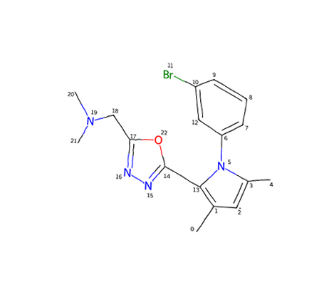 Cc1[c]c(C)n(-c2cccc(Br)c2)c1-c1nnc(CN(C)C)o1